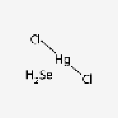 [Cl][Hg][Cl].[SeH2]